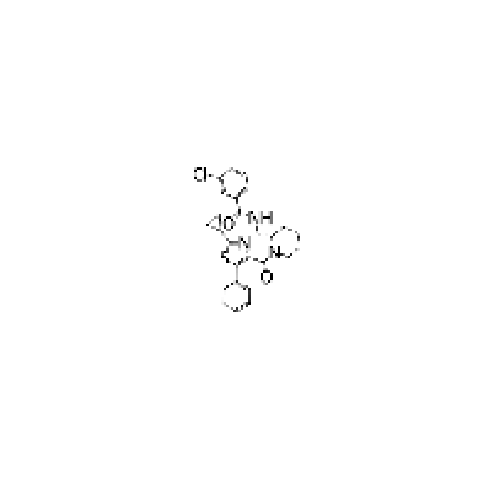 Cc1ccc(-c2sc(C3CC3)nc2C(=O)N2CCCC[C@H]2CNC(=O)c2cccc(Cl)c2)cc1